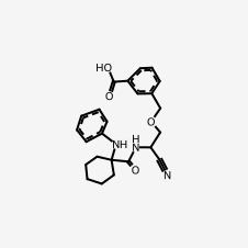 N#CC(COCc1cccc(C(=O)O)c1)NC(=O)C1(Nc2ccccc2)CCCCC1